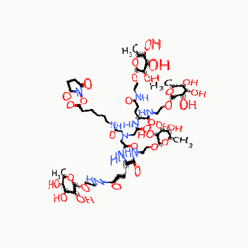 C[C@@H]1O[C@@H](OCCNC(=O)CC[C@H](NC(=O)CN(CC(=O)NCCCCCC(=O)ON2C(=O)CCC2=O)CC(=O)N[C@@H](CCC(=O)NCCO[C@@H]2O[C@@H](C)[C@@H](O)[C@@H](O)[C@@H]2O)C(=O)NCCO[C@@H]2O[C@@H](C)[C@@H](O)[C@@H](O)[C@@H]2O)C(=O)NCCO[C@@H]2O[C@@H](C)[C@@H](O)[C@@H](O)[C@@H]2O)[C@@H](O)[C@H](O)[C@@H]1O